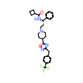 O=C(N[C@@H](CCN1CCC(c2nc(Cc3ccc(C(F)(F)F)cc3)no2)CC1)c1ccccc1)C1CCC1